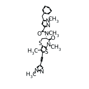 Cc1c(C#Cc2cnn(C)c2)sc2c1SC[C@H](N(C)C(=O)c1cc(Cc3ccccc3)n(C)n1)C(=O)N2C